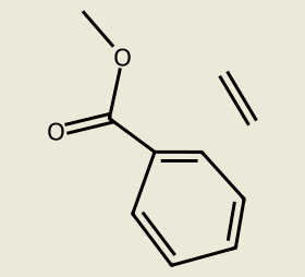 C=C.COC(=O)c1ccccc1